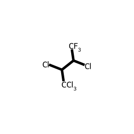 FC(F)(F)C(Cl)C(Cl)C(Cl)(Cl)Cl